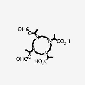 CC(OC=O)N1CCN(C(C)OC=O)CCN(C(C)C(=O)O)CCN(C(C)C(=O)O)CC1